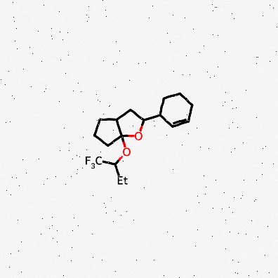 CCC(OC12CCCC1CC(C1C=CCCC1)O2)C(F)(F)F